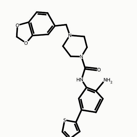 Nc1ccc(-c2cccs2)cc1NC(=O)N1CCN(Cc2ccc3c(c2)OCO3)CC1